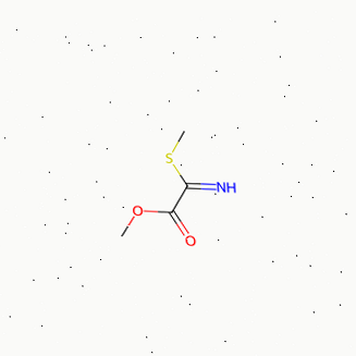 COC(=O)C(=N)SC